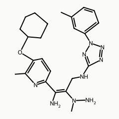 Cc1cccc(-n2nnc(NC/C(=C(/N)c3ccc(OC4CCCCC4)c(C)n3)N(C)N)n2)c1